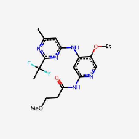 CCOc1cnc(NC(=O)CCOC)cc1Nc1cc(C)nc(C(C)(F)F)n1